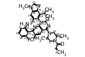 C=CC(=O)N1C[C@H](C)N(c2nc(=O)n(-c3c(F)cc4c(ncn4C)c3C(C)C)c3nc(-c4c(N)cccc4F)c(Cl)cc23)C[C@H]1C